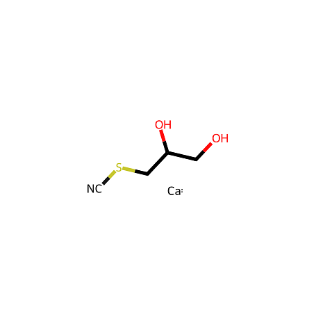 N#CSCC(O)CO.[Ca]